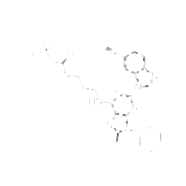 [C-]#[N+]c1ccc2ncn(-c3nc(NCCCNC(=O)OC(C)(C)C)c4[nH]c(=O)n(C5CCOCC5)c4n3)c2c1